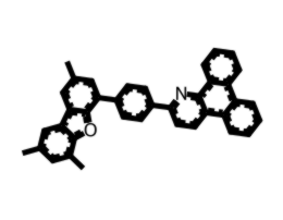 Cc1cc(C)c2oc3c(-c4ccc(-c5ccc6c7ccccc7c7ccccc7c6n5)cc4)cc(C)cc3c2c1